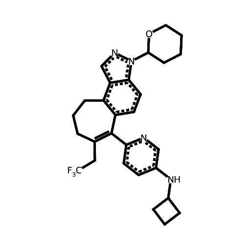 FC(F)(F)CC1=C(c2ccc(NC3CCC3)cn2)c2ccc3c(cnn3C3CCCCO3)c2CCC1